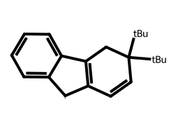 CC(C)(C)C1(C(C)(C)C)C=CC2=C(C1)c1ccccc1[CH]2